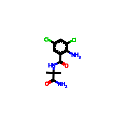 CC(C)(NC(=O)c1cc(Cl)cc(Cl)c1N)C(N)=O